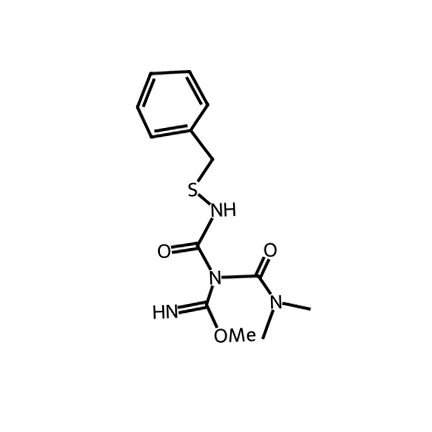 COC(=N)N(C(=O)NSCc1ccccc1)C(=O)N(C)C